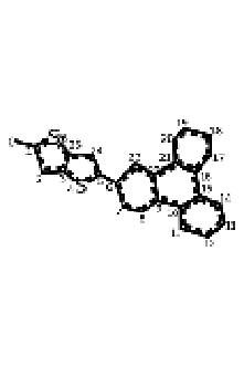 Cc1cc2sc(-c3ccc4c5ccccc5c5ccccc5c4c3)cc2s1